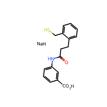 O=C(CCc1ccccc1CS)Nc1cccc(C(=O)O)c1.[NaH]